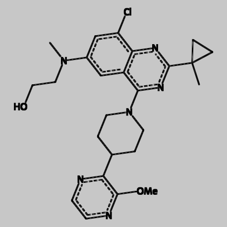 COc1nccnc1C1CCN(c2nc(C3(C)CC3)nc3c(Cl)cc(N(C)CCO)cc23)CC1